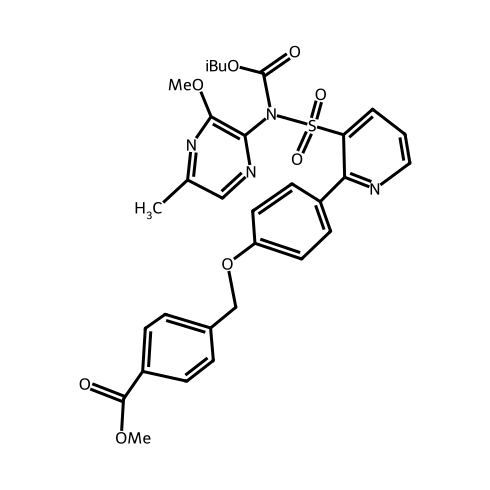 COC(=O)c1ccc(COc2ccc(-c3ncccc3S(=O)(=O)N(C(=O)OCC(C)C)c3ncc(C)nc3OC)cc2)cc1